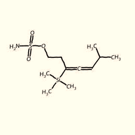 CC(C)C=C=C(CCOS(N)(=O)=O)[Si](C)(C)C